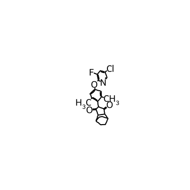 Cc1cc(Oc2ncc(Cl)cc2F)cc(C)c1C1C(=O)C2C3CCC(CC3)C2C1=O